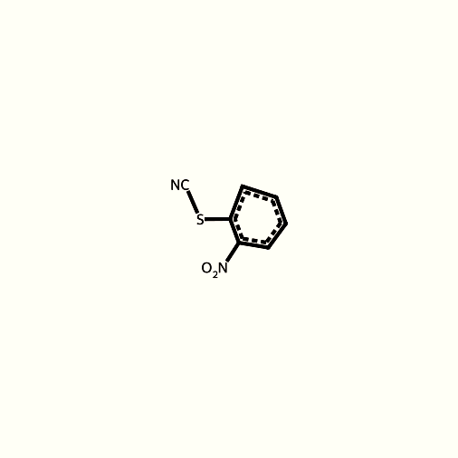 N#CSc1ccccc1[N+](=O)[O-]